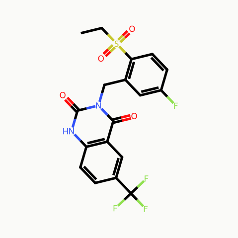 CCS(=O)(=O)c1ccc(F)cc1Cn1c(=O)[nH]c2ccc(C(F)(F)F)cc2c1=O